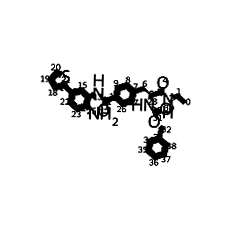 CCNC(=O)[C@H](Cc1ccc(C(=O)Nc2cc(-c3cccs3)ccc2N)cc1)NC(=O)OCc1ccccc1